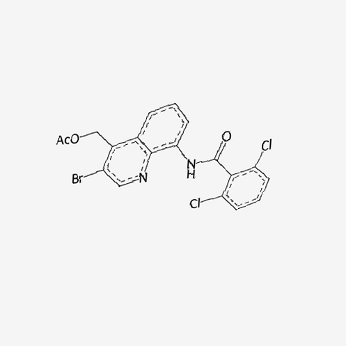 CC(=O)OCc1c(Br)cnc2c(NC(=O)c3c(Cl)cccc3Cl)cccc12